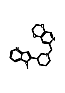 Cn1c(C2CCCN(Cc3cc4c(cn3)OCCO4)C2)cc2ncccc21